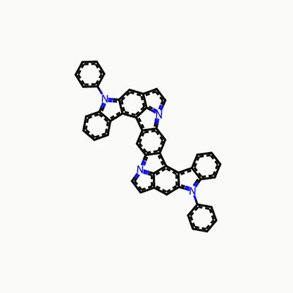 c1ccc(-n2c3ccccc3c3c4c5cc6c(cc5n5ccc(cc32)c45)c2c3c4ccccc4n(-c4ccccc4)c3cc3ccn6c32)cc1